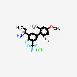 CC[C@H](N)c1cc(-c2c(C)cc(OC)cc2C)cc(C(F)(F)F)c1F.Cl